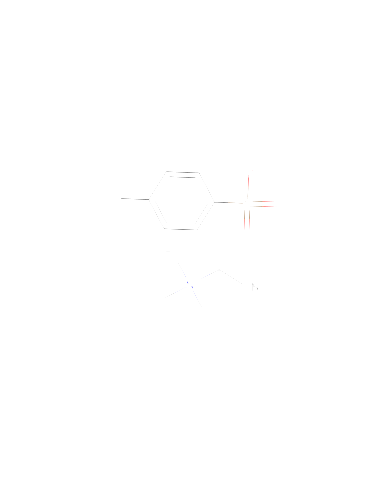 CC[N+](CC)(CC)CC#N.Cc1ccc(S(=O)(=O)[O-])cc1